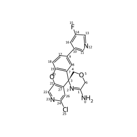 NC1=N[C@@]2(COC1)c1cc(-c3cncc(F)c3)ccc1Oc1cnc(Cl)cc12